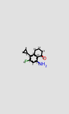 Nc1cc(F)c(C2CC2)c2c1C(=O)CCC2